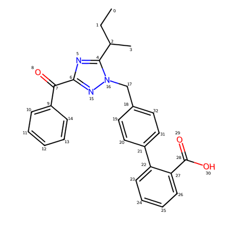 CCC(C)c1nc(C(=O)c2ccccc2)nn1Cc1ccc(-c2ccccc2C(=O)O)cc1